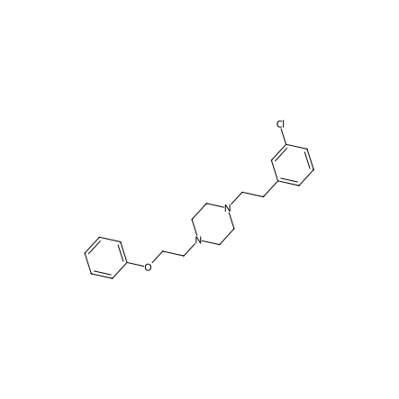 Clc1cccc(CCN2CCN(CCOc3ccccc3)CC2)c1